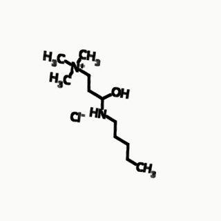 CCCCCNC(O)CC[N+](C)(C)C.[Cl-]